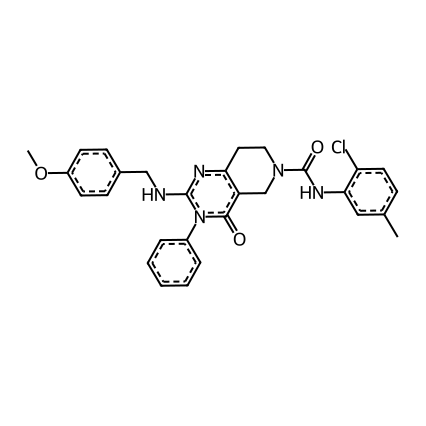 COc1ccc(CNc2nc3c(c(=O)n2-c2ccccc2)CN(C(=O)Nc2cc(C)ccc2Cl)CC3)cc1